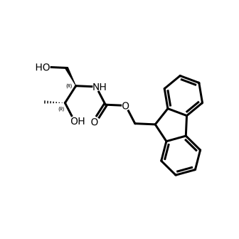 C[C@@H](O)[C@@H](CO)NC(=O)OCC1c2ccccc2-c2ccccc21